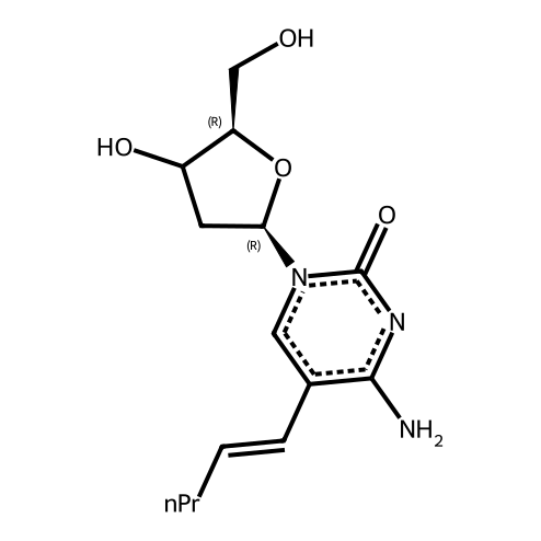 CCCC=Cc1cn([C@H]2CC(O)[C@@H](CO)O2)c(=O)nc1N